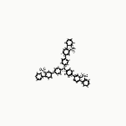 O=S1(=O)c2ccccc2-c2ccc(-c3ccc(N(c4ccc(-c5ccc6c(c5)S(=O)(=O)c5ccccc5-6)cc4)c4ccc(-c5ccc6c(c5)S(=O)(=O)c5ccccc5-6)cc4)cc3)cc21